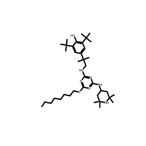 CCCCCCCCSc1nc(NCC(C)(C)c2cc(C(C)(C)C)c(O)c(C(C)(C)C)c2)nc(NC2CC(C)(C)NC(C)(C)C2)n1